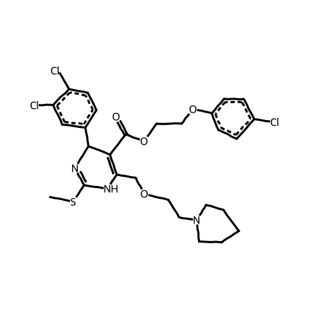 CSC1=NC(c2ccc(Cl)c(Cl)c2)C(C(=O)OCCOc2ccc(Cl)cc2)=C(COCCN2CCCCC2)N1